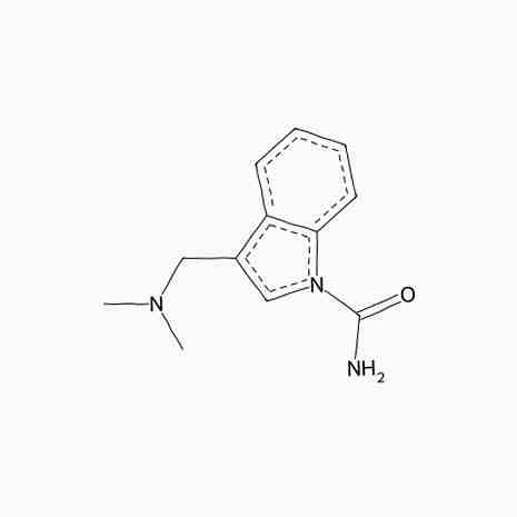 CN(C)Cc1cn(C(N)=O)c2ccccc12